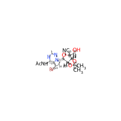 CC(=O)Nc1ncnn2c([C@@H]3O[C@](C#N)(CO)[C@H]4OC(C)(C)O[C@@H]34)cc(Br)c12